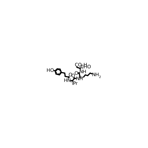 CC(C)[C@H](NC(=O)CCc1ccc(O)cc1)C(=O)N[C@@H](CCCCN)C(=O)NC(C=O)CC(=O)O